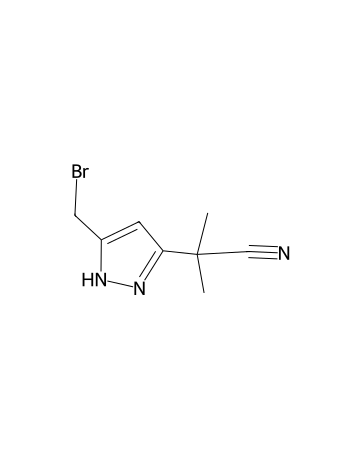 CC(C)(C#N)c1cc(CBr)[nH]n1